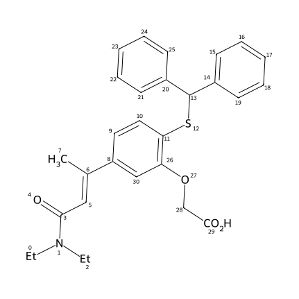 CCN(CC)C(=O)C=C(C)c1ccc(SC(c2ccccc2)c2ccccc2)c(OCC(=O)O)c1